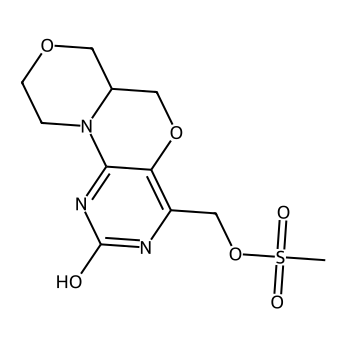 CS(=O)(=O)OCc1nc(O)nc2c1OCC1COCCN21